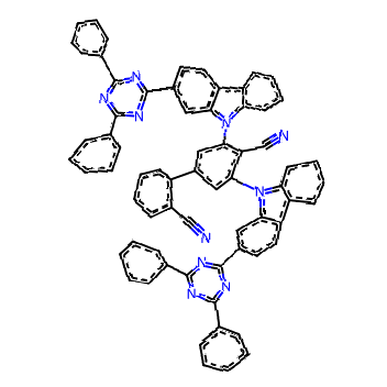 N#Cc1ccccc1-c1cc(-n2c3ccccc3c3ccc(-c4nc(-c5ccccc5)nc(-c5ccccc5)n4)cc32)c(C#N)c(-n2c3ccccc3c3ccc(-c4nc(-c5ccccc5)nc(-c5ccccc5)n4)cc32)c1